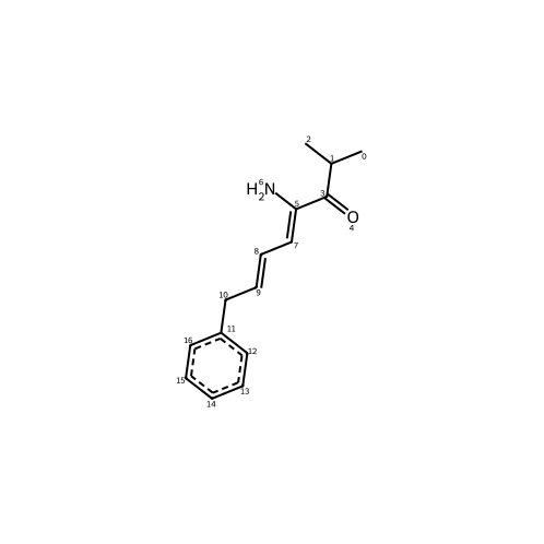 CC(C)C(=O)/C(N)=C/C=C/Cc1ccccc1